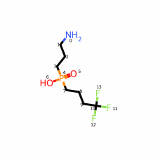 NCCCP(=O)(O)CCCC(F)(F)F